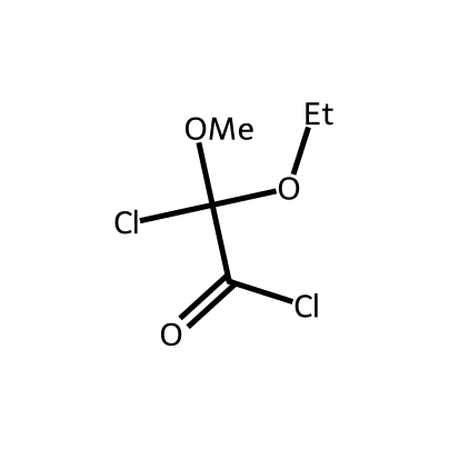 CCOC(Cl)(OC)C(=O)Cl